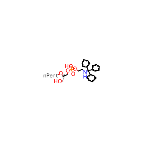 CCCCCO[C@@H](CO)COP(=O)(O)OCCNC(c1ccccc1)(c1ccccc1)c1ccccc1